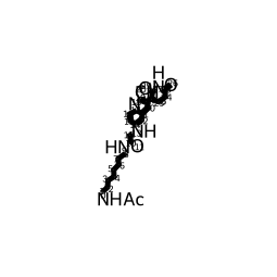 CC(=O)NCCCCCCCCNC(=O)CNc1ccc2nc(C)c(C3CCC(=O)NC3=O)cc2c1